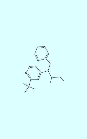 CCC(C)[C](Cc1ccccc1)c1ccnc(C(C)(C)C)c1